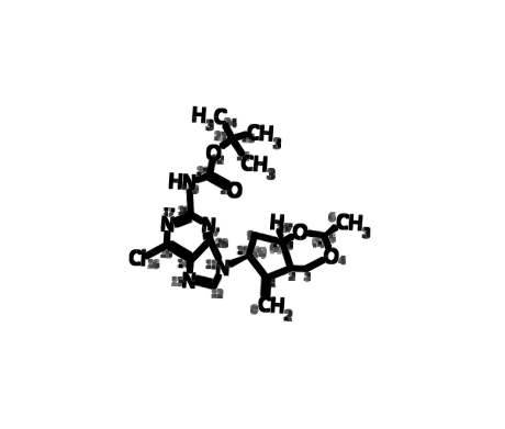 C=C1C2CO[C@H](C)O[C@H]2C[C@@H]1n1cnc2c(Cl)nc(NC(=O)OC(C)(C)C)nc21